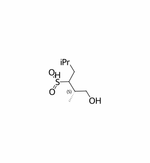 CC(C)CC([C@@H](C)CO)[SH](=O)=O